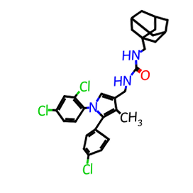 Cc1c(CNC(=O)NCC23CC4CC(CC(C4)C2)C3)cn(-c2ccc(Cl)cc2Cl)c1-c1ccc(Cl)cc1